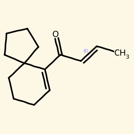 C/C=C/C(=O)C1=CCCCC12CCCC2